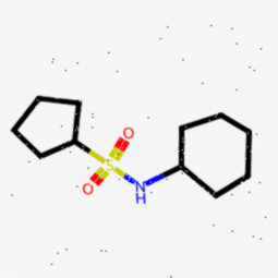 O=S(=O)(NC1CCCCC1)C1CCCC1